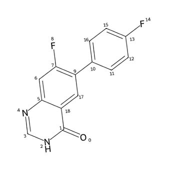 O=c1[nH]cnc2cc(F)c(-c3ccc(F)cc3)cc12